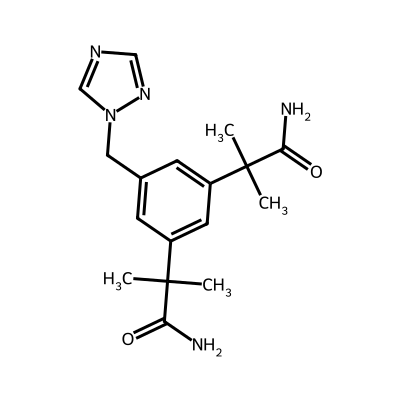 CC(C)(C(N)=O)c1cc(Cn2cncn2)cc(C(C)(C)C(N)=O)c1